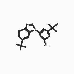 Bc1cc(-n2cnc3ccc(C(C)(C)C)cc32)cc(C(C)(C)C)c1